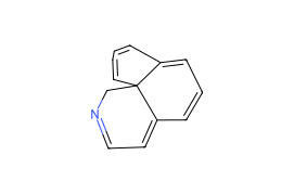 C1=CC2=CC=CC3=CC=NCC23C=C1